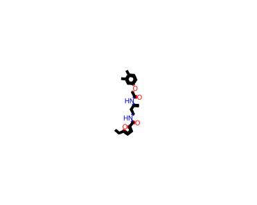 C=C(CCNC(=O)c1ccc(CC)o1)NC(=O)COc1ccc(C)c(C)c1